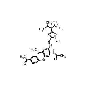 COc1cc(N=Nc2sc(N(C(C)C)C(C)C)n[n+]2C)c(NC(C)=O)cc1Nc1ccc(C(C)=O)cc1